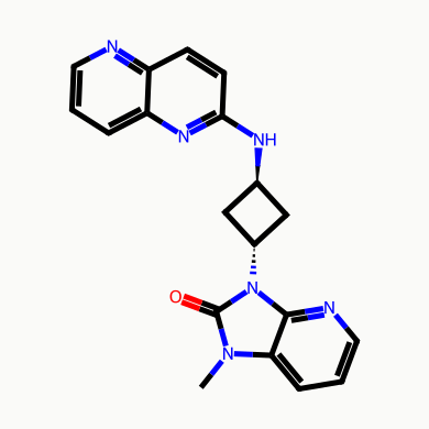 Cn1c(=O)n([C@H]2C[C@H](Nc3ccc4ncccc4n3)C2)c2ncccc21